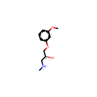 CNC[C@H](O)COc1cccc(OC)c1